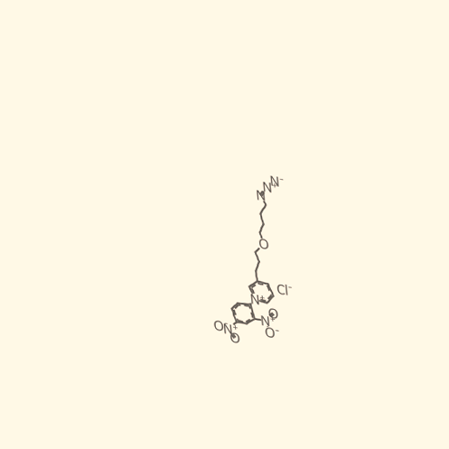 [Cl-].[N-]=[N+]=NCCCCOCCCc1ccc[n+](-c2ccc([N+](=O)[O-])cc2[N+](=O)[O-])c1